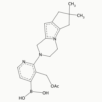 CC(=O)OCc1c(B(O)O)ccnc1N1CCn2c(cc3c2CC(C)(C)C3)C1